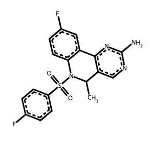 CC1c2cnc(N)nc2-c2cc(F)ccc2N1S(=O)(=O)c1ccc(F)cc1